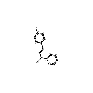 CCC(C=Cc1ccc(C)cc1)c1ccccc1